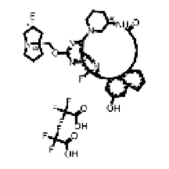 C[C@@]12CCCN(C1)c1nc(OC[C@@]34CCCN3C[C@H](F)C4)nc3c(F)c(ncc13)-c1cc(O)cc3cccc(c13)CCCC(=O)N2.O=C(O)C(F)(F)F.O=C(O)C(F)(F)F